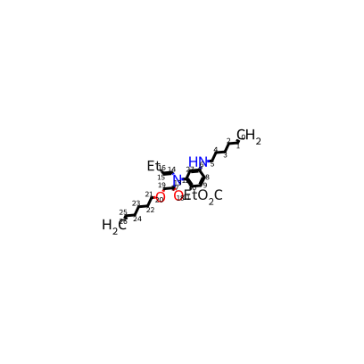 C=CCCCCNc1ccc(C(=O)OCC)c(N(/C=C/CC)C(=O)COCCCCC=C)c1